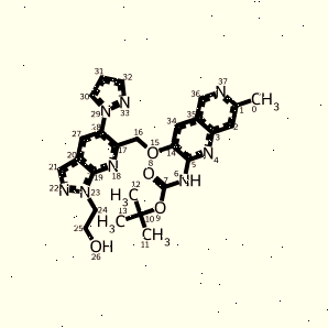 Cc1cc2nc(NC(=O)OC(C)(C)C)c(OCc3nc4c(cnn4CCO)cc3-n3cccn3)cc2cn1